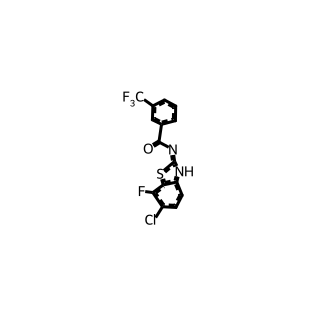 O=C(/N=c1/[nH]c2ccc(Cl)c(F)c2s1)c1cccc(C(F)(F)F)c1